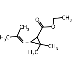 CCOC(=O)C1[C@@H](C=C(C)C)C1(C)C